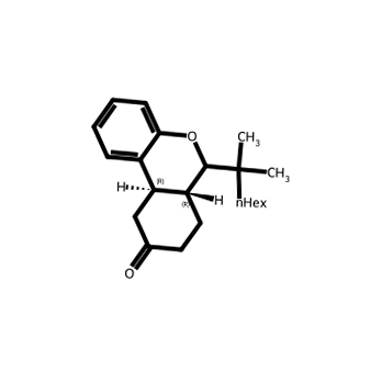 CCCCCCC(C)(C)C1Oc2ccccc2[C@@H]2CC(=O)CC[C@@H]12